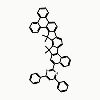 CC1(C)c2cc(-c3nc(-c4ccccc4)cc(-c4ccccc4)n3)c3ccccc3c2-c2ccc3c(c21)C(C)(C)c1c-3ccc2c3ccccc3c3ccccc3c12